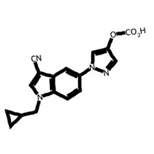 N#Cc1cn(CC2CC2)c2ccc(-n3cc(OC(=O)O)cn3)cc12